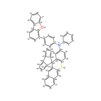 c1ccc(N(c2ccc(-c3cccc4c3oc3ccccc34)cc2)c2ccc3c(c2)C2(c4cc5ccccc5cc4S3)c3ccccc3-c3ccccc32)cc1